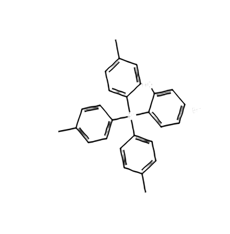 Cc1ccc([P+](c2ccc(C)cc2)(c2ccc(C)cc2)c2ccccc2O)cc1.[Br-]